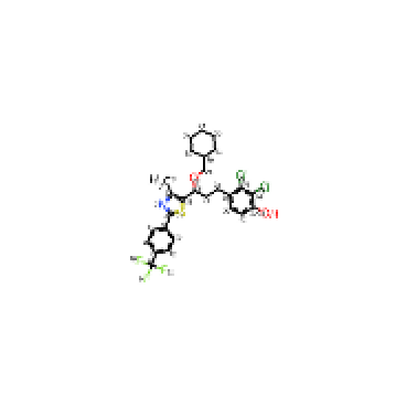 Cc1nc(-c2ccc(C(F)(F)F)cc2)sc1C(CCc1ccc(O)c(Cl)c1Cl)OCC1CCCCC1